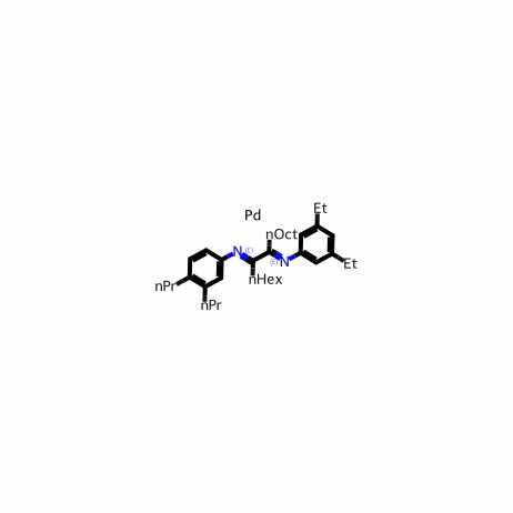 CCCCCCCCC(=N\c1cc(CC)cc(CC)c1)/C(CCCCCC)=N/c1ccc(CCC)c(CCC)c1.[Pd]